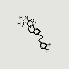 C[C@@H](C(N)=O)N1CCc2cc(OCc3ccc(F)c(F)c3)ccc2C1=O